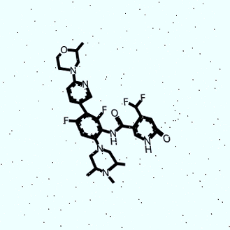 CC1CN(c2ccc(-c3c(F)cc(N4CC(C)N(C)C(C)C4)c(NC(=O)c4c[nH]c(=O)cc4C(F)F)c3F)cn2)CCO1